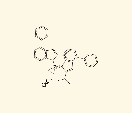 CC(C)C1=Cc2c(-c3ccccc3)cccc2[CH]1[Zr+2]1([CH]2C(C(C)C)=Cc3c(-c4ccccc4)cccc32)[CH2][CH2]1.[Cl-].[Cl-]